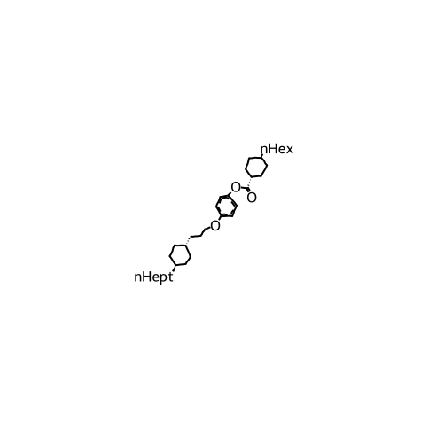 CCCCCCC[C@H]1CC[C@H](CCCOc2ccc(OC(=O)[C@H]3CC[C@H](CCCCCC)CC3)cc2)CC1